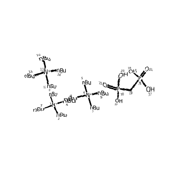 CCCC[N+](CCCC)(CCCC)CCCC.CCCC[N+](CCCC)(CCCC)CCCC.CCCC[N+](CCCC)(CCCC)CCCC.O=P(O)(O)CP(=O)(O)O